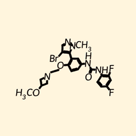 COC1CN(CCOc2ccc(NC(=O)Nc3ccc(F)cc3F)cc2-c2c(Br)cnn2C)C1